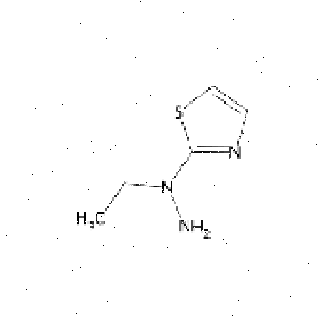 CCN(N)c1nccs1